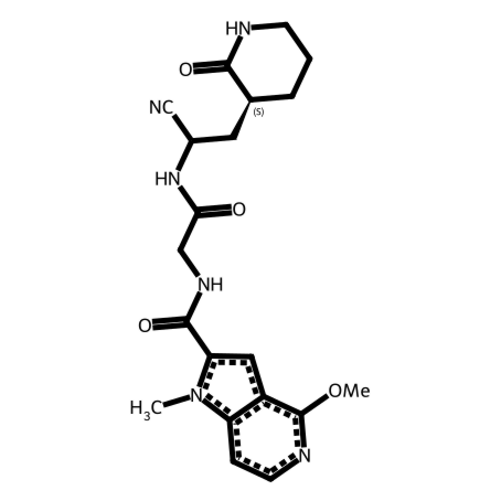 COc1nccc2c1cc(C(=O)NCC(=O)NC(C#N)C[C@@H]1CCCNC1=O)n2C